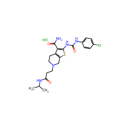 CC(C)NC(=O)CCN1CCc2c(sc(NC(=O)Nc3ccc(Cl)cc3)c2C(N)=O)C1.Cl